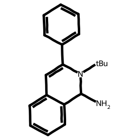 CC(C)(C)N1C(c2ccccc2)=Cc2ccccc2C1N